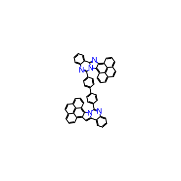 c1ccc2c(c1)nc(-c1ccc(-c3ccc(-c4nc5ccccc5c5nc6c7cccc8ccc9cccc(c9c87)c6n45)cc3)cc1)n1c2cc2c3cccc4ccc5cccc(c5c43)c21